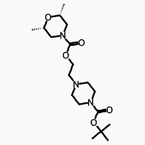 C[C@@H]1CN(C(=O)OCCN2CCN(C(=O)OC(C)(C)C)CC2)C[C@H](C)O1